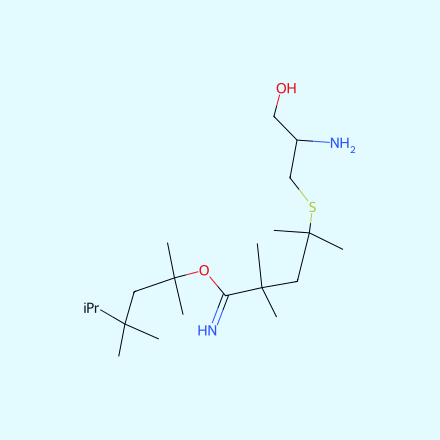 CC(C)C(C)(C)CC(C)(C)OC(=N)C(C)(C)CC(C)(C)SCC(N)CO